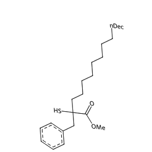 CCCCCCCCCCCCCCCCCCC(S)(Cc1ccccc1)C(=O)OC